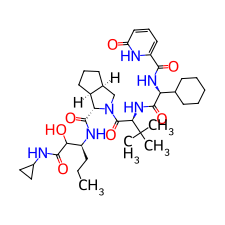 CCC[C@H](NC(=O)[C@@H]1[C@H]2CCC[C@H]2CN1C(=O)[C@@H](NC(=O)[C@@H](NC(=O)c1cccc(=O)[nH]1)C1CCCCC1)C(C)(C)C)C(O)C(=O)NC1CC1